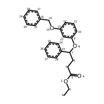 CCOC(=O)CCC(Oc1cccc(OCc2ccccc2)c1)c1ccccc1